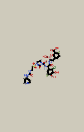 O=C(NCCS(=O)(=O)N1CCN(C(=O)N[C@@H](C(=O)N[C@H]2Cc3ccc(F)c(C(=O)O)c3OB2O)c2cc(F)c(O)c(O)c2Cl)C1=O)Nc1ccncc1